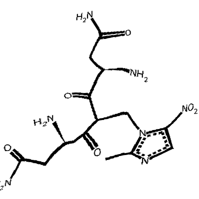 Cc1ncc([N+](=O)[O-])n1CC(C(=O)[C@H](N)CC(N)=O)C(=O)[C@H](N)CC(N)=O